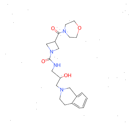 O=C(NCC(O)CN1CCc2ccccc2C1)N1CC(C(=O)N2CCOCC2)C1